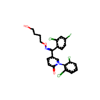 O=c1ccc(C(=NOCCCCO)c2ccc(F)cc2Cl)cn1-c1c(Cl)cccc1Cl